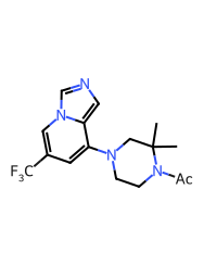 CC(=O)N1CCN(c2cc(C(F)(F)F)cn3cncc23)CC1(C)C